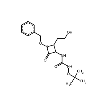 CC(C)(C)ONC(=O)NC1C(=O)N(OCc2ccccc2)C1CCO